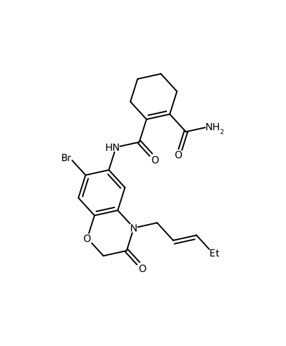 CCC=CCN1C(=O)COc2cc(Br)c(NC(=O)C3=C(C(N)=O)CCCC3)cc21